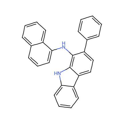 c1ccc(-c2ccc3c([nH]c4ccccc43)c2Nc2cccc3ccccc23)cc1